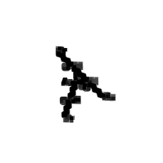 CCC(C)CCCCC(=O)NC(CCCCNC(=O)CCCCC(C)C)C(=O)NC(CCCCNC(=O)CCCCC(C)C)C(C)=O